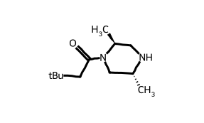 C[C@@H]1CN(C(=O)CC(C)(C)C)[C@@H](C)CN1